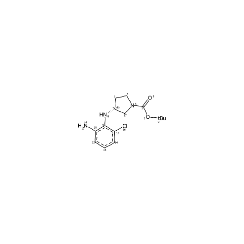 CC(C)(C)OC(=O)N1CC[C@@H](Nc2c(N)cccc2Cl)C1